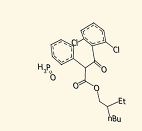 CCCCC(CC)COC(=O)C(C(=O)c1c(Cl)cccc1Cl)c1ccccc1.O=[PH3]